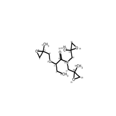 CCC(OCC1(C)CO1)C(=O)N(CC1(C)CO1)CC1(C)CO1